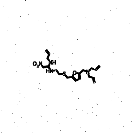 C=CCNC(=C[N+](=O)[O-])NCCSCc1ccc(CN(CC=C)CC=C)o1